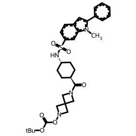 Cn1c(-c2ccccc2)cc2ccc(S(=O)(=O)N[C@H]3CC[C@H](C(=O)N4CC5(CN(OC(=O)OC(C)(C)C)C5)C4)CC3)cc21